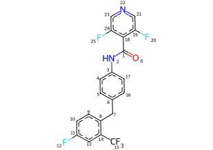 O=C(Nc1ccc(Cc2ccc(F)cc2C(F)(F)F)cc1)c1c(F)cncc1F